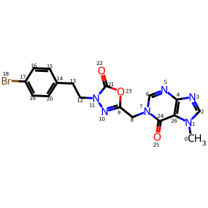 Cn1cnc2ncn(Cc3nn(CCc4ccc(Br)cc4)c(=O)o3)c(=O)c21